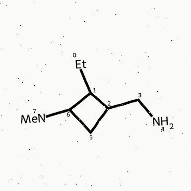 CCC1C(CN)CC1NC